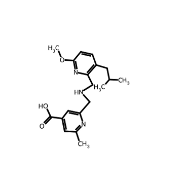 COc1ccc(CC(C)C)c(CNCc2cc(C(=O)O)cc(C)n2)n1